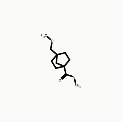 COCC12CCC(C(=O)OC)(CC1)C2